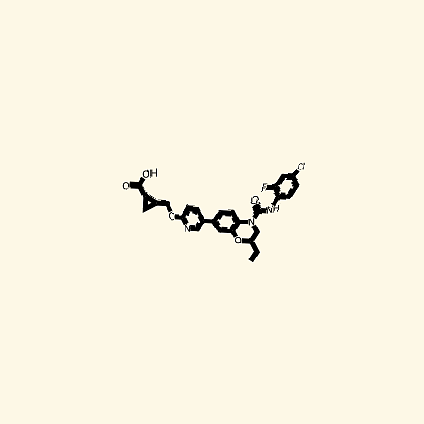 CCC1CN(C(=O)Nc2ccc(Cl)cc2F)c2ccc(-c3ccc(OCC4CC4C(=O)O)nc3)cc2O1